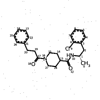 C[C@@H](Cc1ccccc1Cl)NC(=O)C1CCN(C(=O)CCc2ccccc2)CC1